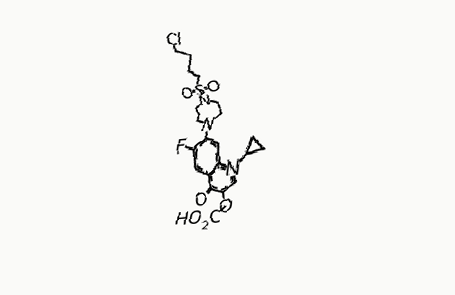 O=C(O)Oc1cn(C2CC2)c2cc(N3CCN(S(=O)(=O)CCCCCl)CC3)c(F)cc2c1=O